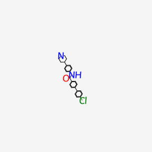 CN1CCC(c2ccc(NC(=O)c3ccc(-c4ccc(Cl)cc4)cc3)cc2)CC1